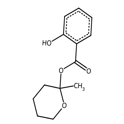 CC1(OC(=O)c2ccccc2O)CCCCO1